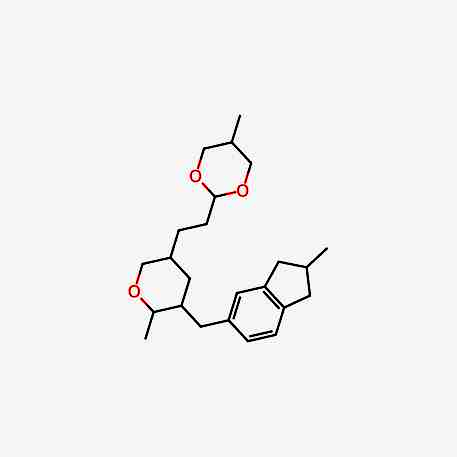 CC1COC(CCC2COC(C)C(Cc3ccc4c(c3)CC(C)C4)C2)OC1